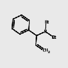 C=CC(c1ccccc1)N(CC)CC